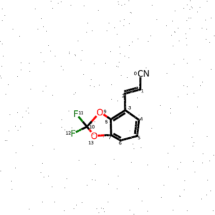 N#CC=Cc1cccc2c1OC(F)(F)O2